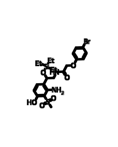 CC[Si](CC)(CC)OC(CNC(=O)COc1ccc(Br)cc1)c1ccc(O)c(S(C)(=O)=O)c1N